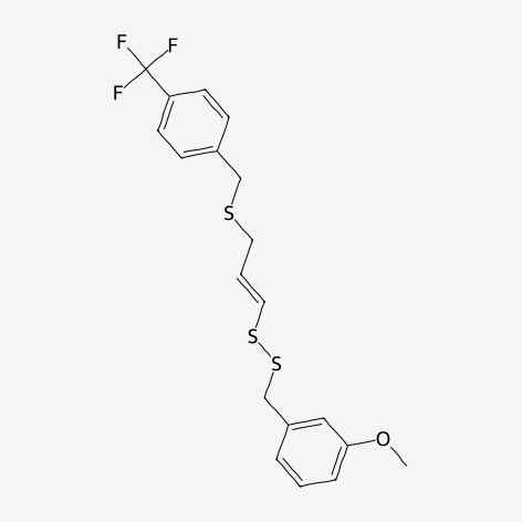 COc1cccc(CSSC=CCSCc2ccc(C(F)(F)F)cc2)c1